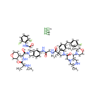 CN[C@@H](C)C(=O)N[C@H](C(=O)N1Cc2ccc(NC(=O)CNC(=O)C3(C)CN(C(=O)CN4C[C@@H](C)NC[C@@H]4CN4CCOC[C@H]4C)c4cc(Cc5ccc(F)cc5)ccc43)cc2[C@H]1C(=O)Nc1c(F)cccc1F)C1CCOCC1.Cl.Cl.Cl